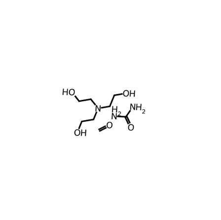 C=O.NC(N)=O.OCCN(CCO)CCO